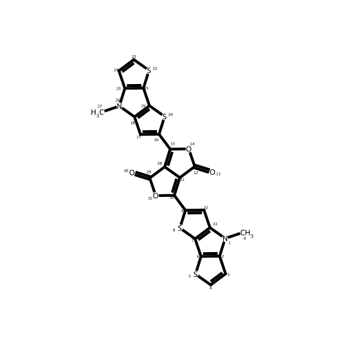 Cn1c2ccsc2c2sc(C3=C4C(=O)OC(c5cc6c(s5)c5sccc5n6C)=C4C(=O)O3)cc21